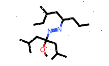 CCCC(CC(C)CC)N=NC(CC(C)C)(CC(C)C)OC